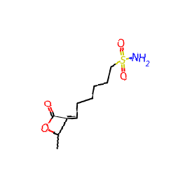 CC1OC(=O)/C1=C\CCCCCS(N)(=O)=O